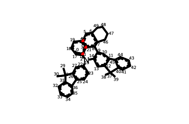 CC(C)c1ccc2c(c1-c1cc3c(cc1N(c1ccccc1)c1ccc4c(c1)C(C)(C)c1ccccc1-4)C(C)(C)c1ccccc1-3)CCCC2